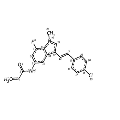 C=CC(=O)Nc1cc(F)c2c(c1)c(C=Cc1ccc(Cl)cc1)cn2C